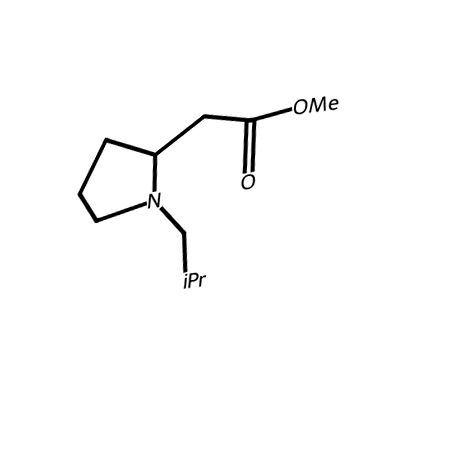 COC(=O)CC1CCCN1CC(C)C